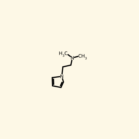 CN(C)CCn1cccc1